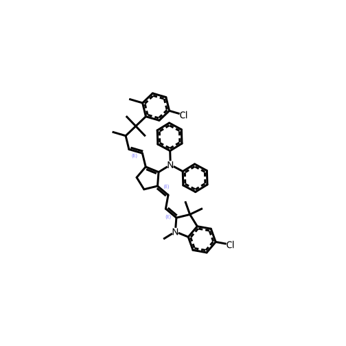 Cc1ccc(Cl)cc1C(C)(C)C(C)/C=C/C1=C(N(c2ccccc2)c2ccccc2)C(=C/C=C2/N(C)c3ccc(Cl)cc3C2(C)C)/CC1